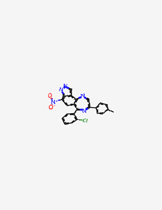 Cc1ccc(-c2cnc3c(cc([N+](=O)[O-])c4nncc43)c(-c3ccccc3Cl)n2)cc1